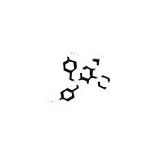 COc1ccc(CN(Cc2ccc(OC)cc2)c2ncc(OC(N)=O)c(N3CCOCC3)c2F)cc1